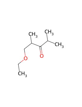 CCOCC(C)C(=O)C(C)C